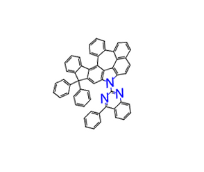 c1ccc(-c2nc(-n3c4cc5c(c6c4c4c7c(cccc7ccc43)-c3ccccc3-6)-c3ccccc3C5(c3ccccc3)c3ccccc3)nc3ccccc23)cc1